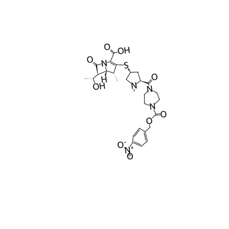 C[C@@H](O)[C@H]1C(=O)N2C(C(=O)O)=C(S[C@H]3C[C@@H](C(=O)N4CCN(C(=O)OCc5ccc([N+](=O)[O-])cc5)CC4)N(C)C3)[C@H](C)[C@H]12